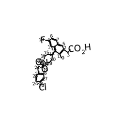 Cc1c(CC(=O)O)cc2ccc(F)cc2c1C1CCN(S(=O)(=O)Cc2ccc(Cl)cc2)CC1